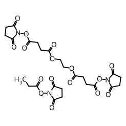 CCC(=O)ON1C(=O)CCC1=O.O=C(CCC(=O)ON1C(=O)CCC1=O)OCCOC(=O)CCC(=O)ON1C(=O)CCC1=O